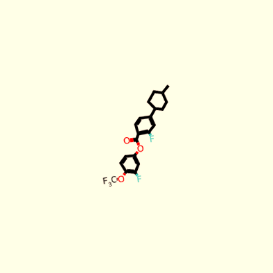 CC1CCC(c2ccc(C(=O)Oc3ccc(OC(F)(F)F)c(F)c3)c(F)c2)CC1